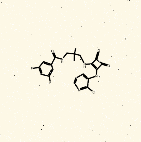 CC(C)(CNC(=O)c1cc(F)cc(F)c1)CNc1c(Nc2cccnc2Cl)c(=O)c1=O